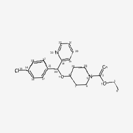 CCOC(=O)N1CCC(OC(c2ccc(Cl)cc2)c2ccccn2)CC1